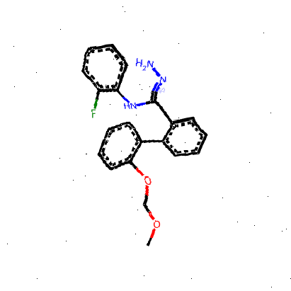 COCOc1ccccc1-c1ccccc1/C(=N/N)Nc1ccccc1F